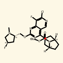 CN1C[C@H](F)C[C@H]1COc1nc(N2C[C@H]3CC[C@@H](C2)N3C(=O)OC(C)(C)C)c2cnc(Cl)c(F)c2n1